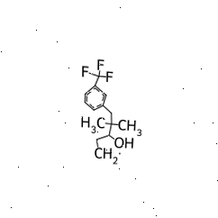 [CH2]CC(O)C(C)(C)Cc1cccc(C(F)(F)F)c1